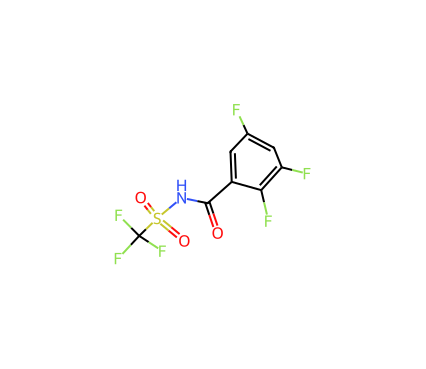 O=C(NS(=O)(=O)C(F)(F)F)c1cc(F)cc(F)c1F